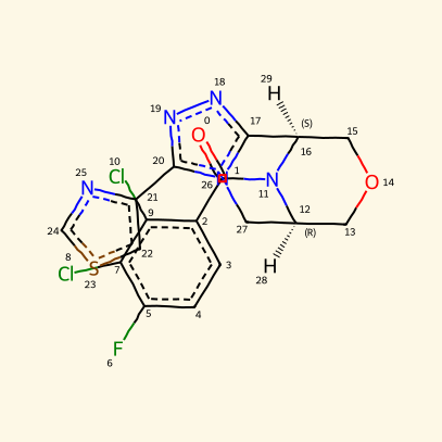 O=C(c1ccc(F)c(Cl)c1Cl)N1[C@H]2COC[C@@H]1c1nnc(-c3cscn3)n1C2